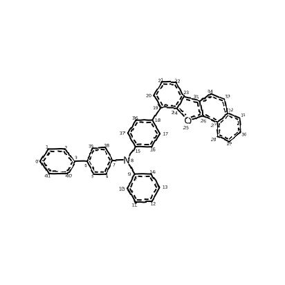 c1ccc(-c2ccc(N(c3ccccc3)c3ccc(-c4cccc5c4oc4c6ccccc6ccc54)cc3)cc2)cc1